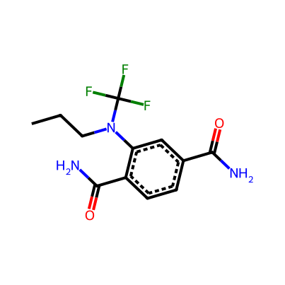 CCCN(c1cc(C(N)=O)ccc1C(N)=O)C(F)(F)F